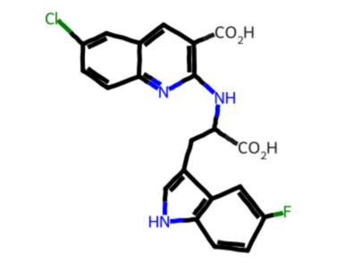 O=C(O)c1cc2cc(Cl)ccc2nc1NC(Cc1c[nH]c2ccc(F)cc12)C(=O)O